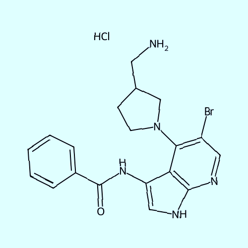 Cl.NCC1CCN(c2c(Br)cnc3[nH]cc(NC(=O)c4ccccc4)c23)C1